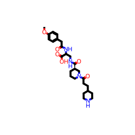 COc1ccc(CC(=O)NC(CNC(=O)[C@@H]2CCCN(C(=O)CCC3CCNCC3)C2)C(=O)O)cc1